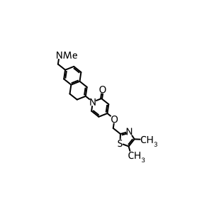 CNCc1ccc2c(c1)CCC(n1ccc(OCc3nc(C)c(C)s3)cc1=O)=C2